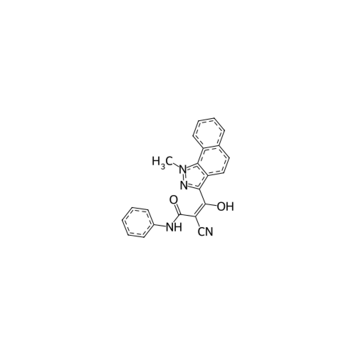 Cn1nc(C(O)=C(C#N)C(=O)Nc2ccccc2)c2ccc3ccccc3c21